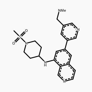 CNCc1cncc(-c2cc(NC3CCN(S(C)(=O)=O)CC3)c3cnccc3c2)c1